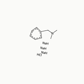 CN(C)Cc1ccccc1.Cl.[NaH].[NaH].[NaH]